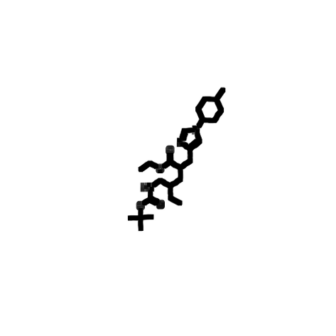 CCOC(=O)C(Cc1cn(C2CCC(C)CC2)cn1)CC(CC)CNC(=O)OC(C)(C)C